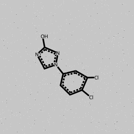 Oc1ncn(-c2ccc(Cl)c(Cl)c2)n1